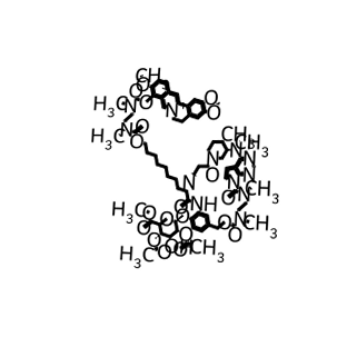 COC(=O)C1O[C@@H](Oc2ccc(COC(=O)N(C)CCN(C)C(=O)n3ccc4c(N(C)[C@H]5CN(C(=O)CC#N)CC[C@H]5C)ncnc43)cc2NC(=O)CCCCCCCCCOC(=O)N(C)CCN(C)C(=O)Oc2c(OC)ccc3cc4[n+](cc23)CCc2cc3c(cc2-4)OCO3)[C@H](OC(C)=O)[C@@H](O)[C@@H]1OC(C)=O